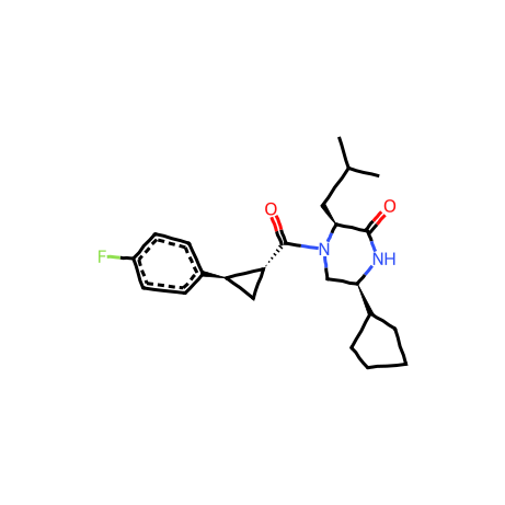 CC(C)C[C@H]1C(=O)N[C@@H](C2CCCC2)CN1C(=O)[C@@H]1C[C@H]1c1ccc(F)cc1